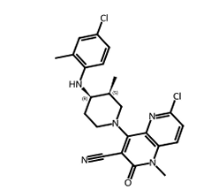 Cc1cc(Cl)ccc1N[C@@H]1CCN(c2c(C#N)c(=O)n(C)c3ccc(Cl)nc23)C[C@@H]1C